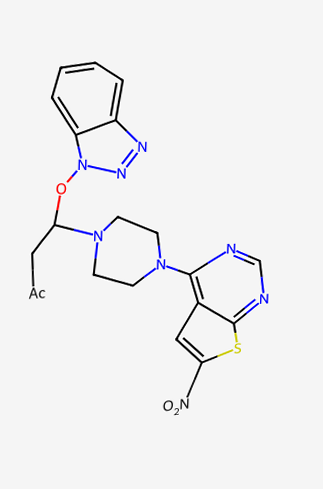 CC(=O)CC(On1nnc2ccccc21)N1CCN(c2ncnc3sc([N+](=O)[O-])cc23)CC1